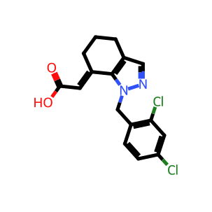 O=C(O)C=C1CCCc2cnn(Cc3ccc(Cl)cc3Cl)c21